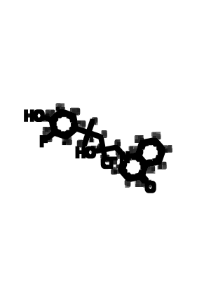 CC(C)(CC(O)(Cn1ccc(=O)c2ccccc21)C(F)(F)F)c1ccc(O)c(F)c1